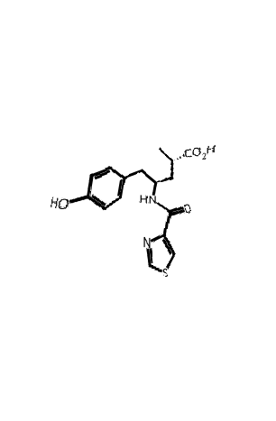 C[C@@H](C[C@H](Cc1ccc(O)cc1)NC(=O)c1cscn1)C(=O)O